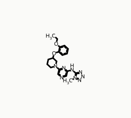 CCOc1ccccc1OC1CCCN(c2cncc(Nc3nnnn3C)n2)C1